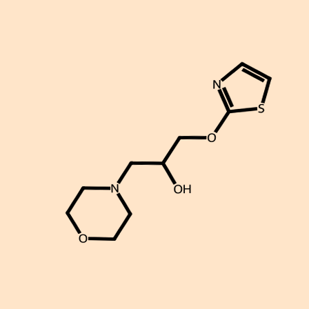 OC(COc1nccs1)CN1CCOCC1